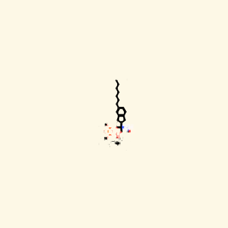 CCCCCCCCc1ccc2c(c1)CC(C(CO[Si](C)(C)C(C)(C)C)(COP(=O)(OC(C)(C)C)OC(C)(C)C)NC(C)=O)C2